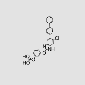 OP(O)Oc1cccc(Oc2nc3cc(-c4ccc(-c5ccccc5)cc4)c(Cl)cc3[nH]2)c1